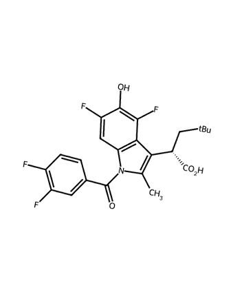 Cc1c([C@H](CC(C)(C)C)C(=O)O)c2c(F)c(O)c(F)cc2n1C(=O)c1ccc(F)c(F)c1